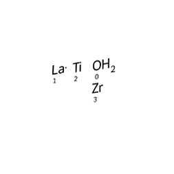 O.[La].[Ti].[Zr]